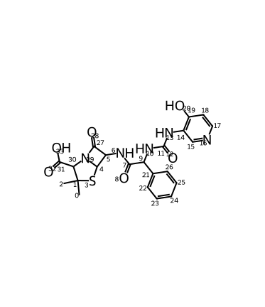 CC1(C)SC2C(NC(=O)C(NC(=O)Nc3cnccc3O)c3ccccc3)C(=O)N2C1C(=O)O